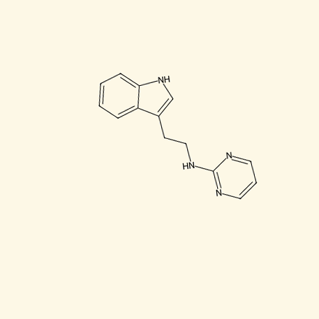 c1cnc(NCCc2c[nH]c3ccccc23)nc1